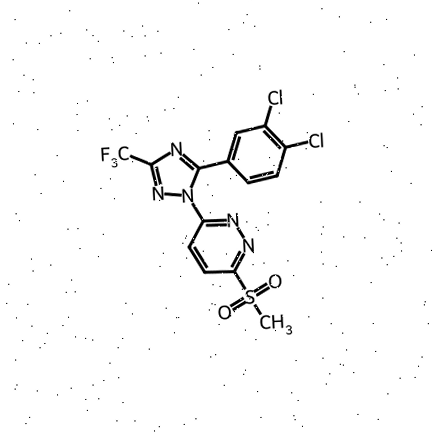 CS(=O)(=O)c1ccc(-n2nc(C(F)(F)F)nc2-c2ccc(Cl)c(Cl)c2)nn1